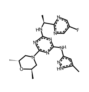 Cc1cc(Nc2nc(N[C@@H](C)c3ncc(F)cn3)nc(N3C[C@@H](C)O[C@H](C)C3)n2)n[nH]1